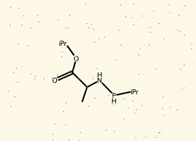 CC(C)OC(=O)C(C)NPC(C)C